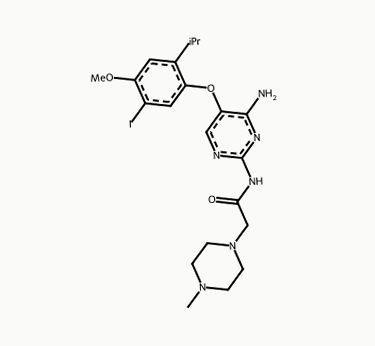 COc1cc(C(C)C)c(Oc2cnc(NC(=O)CN3CCN(C)CC3)nc2N)cc1I